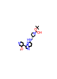 COc1cnccc1-c1cnc2ccc(NC[C@@H]3CCN(C(O)OC(C)(C)C)C3)nn12